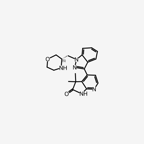 CC1(C)C(=O)Nc2nccc(-c3nn(C[C@H]4COCCN4)c4ccccc34)c21